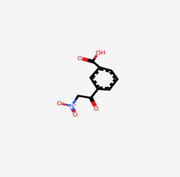 O=C(O)c1cccc(C(=O)C[N+](=O)[O-])c1